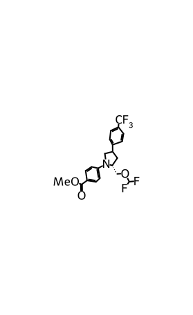 COC(=O)c1ccc(N2CC(c3ccc(C(F)(F)F)cc3)C[C@@H]2COC(F)F)cc1